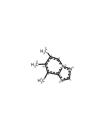 Cc1cn2ncnc2c(C)c1C